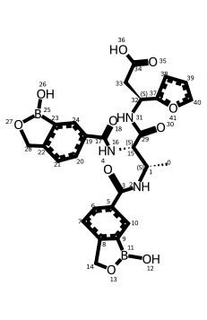 C[C@H](NC(=O)c1ccc2c(c1)B(O)OC2)[C@H](NC(=O)c1ccc2c(c1)B(O)OC2)C(=O)N[C@@H](CC(=O)O)c1ccco1